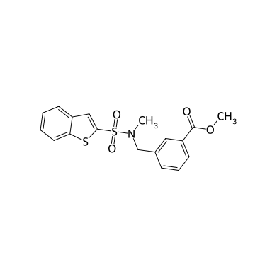 COC(=O)c1cccc(CN(C)S(=O)(=O)c2cc3ccccc3s2)c1